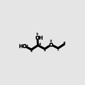 CCOCC(O)[CH]O